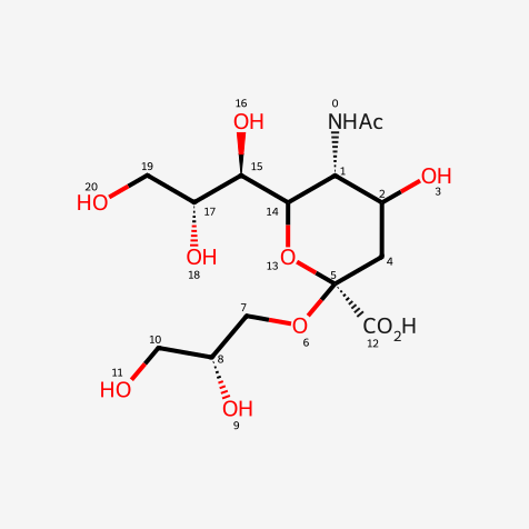 CC(=O)N[C@@H]1C(O)C[C@](OC[C@H](O)CO)(C(=O)O)OC1[C@H](O)[C@H](O)CO